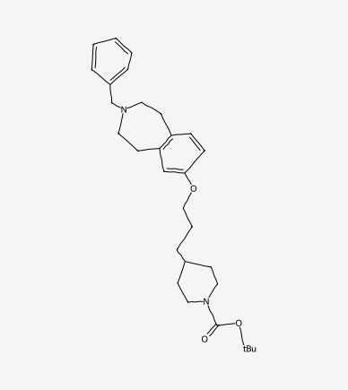 CC(C)(C)OC(=O)N1CCC(CCCOc2ccc3c(c2)CCN(Cc2ccccc2)CC3)CC1